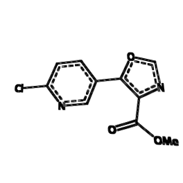 COC(=O)c1ncoc1-c1ccc(Cl)nc1